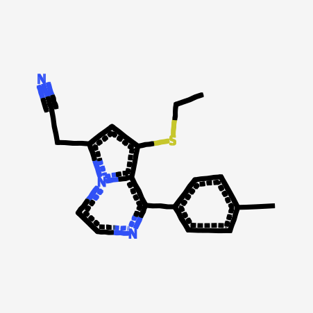 CCSc1cc(CC#N)n2ccnc(-c3ccc(C)cc3)c12